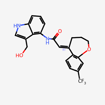 O=C(/C=C1\CCCOc2cc(C(F)(F)F)ccc21)Nc1cccc2[nH]cc(CO)c12